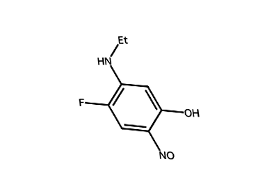 CCNc1cc(O)c(N=O)cc1F